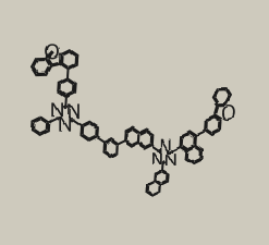 c1ccc(-c2nc(-c3ccc(-c4cccc(-c5ccc6ccc(-c7nc(-c8ccc9ccccc9c8)nc(-c8ccc(-c9ccc%10oc%11ccccc%11c%10c9)c9ccccc89)n7)cc6c5)c4)cc3)nc(-c3ccc(-c4cccc5oc6ccccc6c45)cc3)n2)cc1